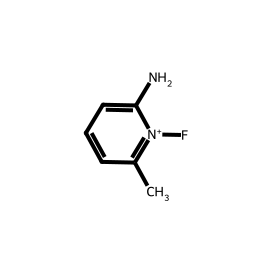 Cc1cccc(N)[n+]1F